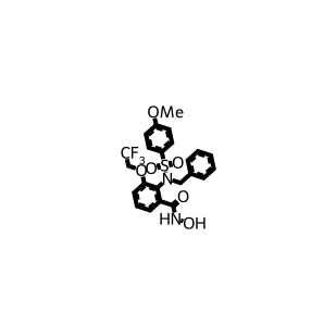 COc1ccc(S(=O)(=O)N(Cc2ccccc2)c2c(OCC(F)(F)F)cccc2C(=O)NO)cc1